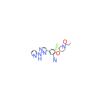 CCC(=O)N1CCC(Oc2ccc(-c3ccnc(Nc4ccccn4)n3)cc2C#N)C(F)(F)C1